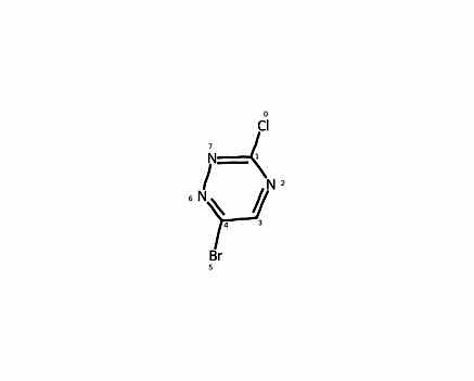 Clc1ncc(Br)nn1